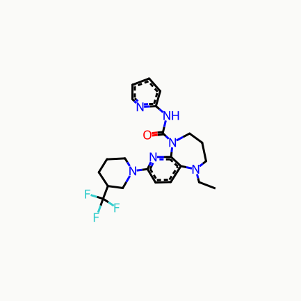 CCN1CCCN(C(=O)Nc2ccccn2)c2nc(N3CCCC(C(F)(F)F)C3)ccc21